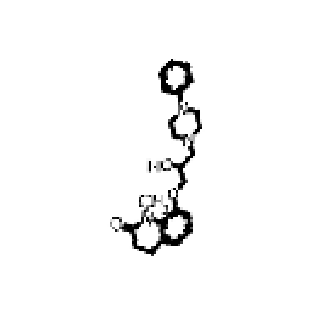 CN1C(=O)CCc2cccc(OCC(O)CN3CCN(c4ccccc4)CC3)c21